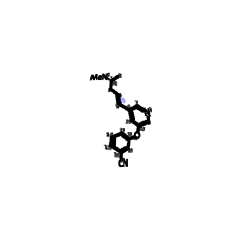 CN[C@H](C)C/C=C/c1cncc(Oc2cccc(C#N)c2)c1